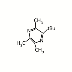 Cc1nc(C)c(C(C)(C)C)nc1C